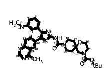 C=Nc1cccc(-c2nc(NC(=O)N3CCC4(CC3)CN(C(=O)OC(C)(C)C)CCO4)sc2-c2ccc3ncnc(C)c3c2)c1